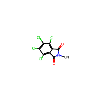 N#CN1C(=O)c2c(Cl)c(Cl)c(Cl)c(Cl)c2C1=O